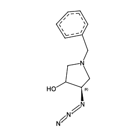 [N-]=[N+]=N[C@@H]1CN(Cc2ccccc2)CC1O